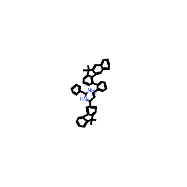 CC1(C)c2ccccc2-c2cc(C(/C=C/c3ccccc3-c3cccc4c3-c3cc5ccccc5cc3C4(C)C)NC(N)c3ccccc3)ccc21